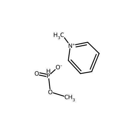 CO[PH](=O)[O-].C[n+]1ccccc1